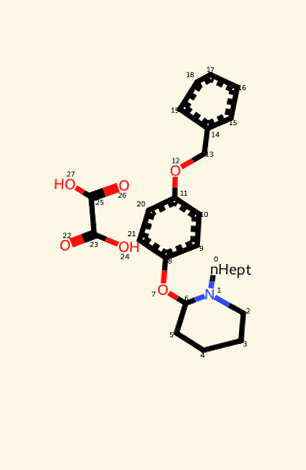 CCCCCCCN1CCCCC1Oc1ccc(OCc2ccccc2)cc1.O=C(O)C(=O)O